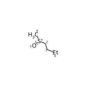 [CH2]CCC[S+](C)[O-]